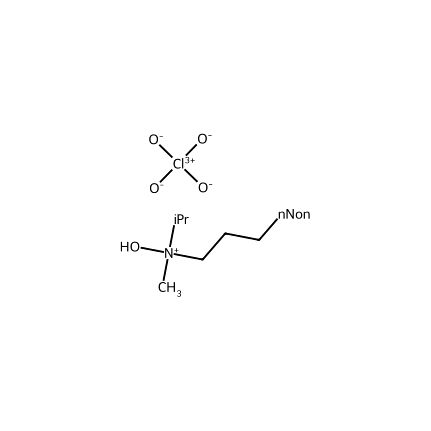 CCCCCCCCCCCC[N+](C)(O)C(C)C.[O-][Cl+3]([O-])([O-])[O-]